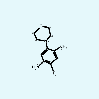 Cc1cc(F)c(N)cc1N1CCOCC1